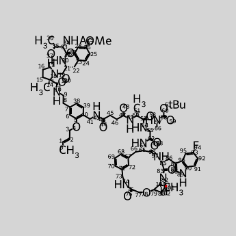 C/C=C/COc1cc(CCNC(=O)[C@@]2(C)CCCN2C(=O)[C@@H](Cc2ccc(OC)cc2)NC(=O)[C@@H](NC(C)=O)[C@H](C)O)ccc1CNC(=O)CCC(=O)N[C@@H](C)C(=O)N[C@H](CNC(=O)OC(C)(C)C)C(=O)N[C@H]1Cc2cccc(c2)CNC(=O)COC2CCN(C(=O)[C@H](Cc3c[nH]c4ccc(F)cc34)NC1=O)[C@@H]2C